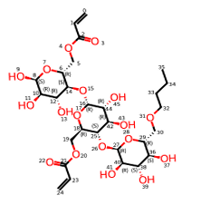 C=CC(=O)OC[C@H]1O[C@H](O)[C@H](O)[C@@H](O)[C@@H]1O[C@H]1O[C@H](COC(=O)C=C)[C@@H](O[C@H]2O[C@H](COCCCC)[C@@H](O)[C@H](O)[C@H]2O)[C@H](O)[C@H]1O